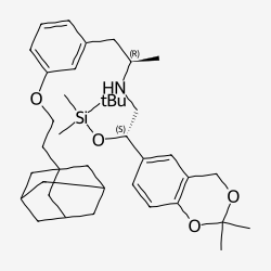 C[C@H](Cc1cccc(OCCC23CC4CC(CC(C4)C2)C3)c1)NC[C@@H](O[Si](C)(C)C(C)(C)C)c1ccc2c(c1)COC(C)(C)O2